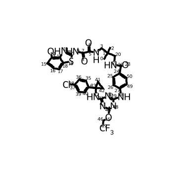 CC(C)(CNC(=O)C(=O)Nc1nc2c(O)cccc2s1)CNC(=O)c1ccc(Nc2nc(NC3(c4ccc(Cl)cc4)CC3)nc(OCC(F)(F)F)n2)cc1